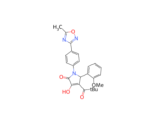 COc1ccccc1C1C(C(=O)C(C)(C)C)=C(O)C(=O)N1c1ccc(-c2noc(C)n2)cc1